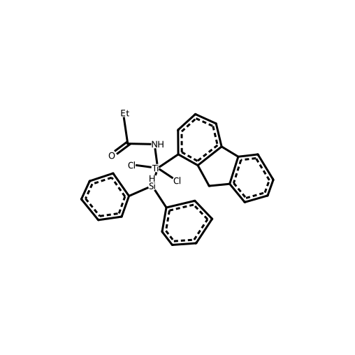 CCC(=O)[NH][Ti]([Cl])([Cl])([c]1cccc2c1Cc1ccccc1-2)[SiH](c1ccccc1)c1ccccc1